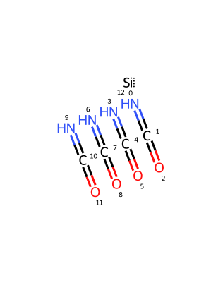 N=C=O.N=C=O.N=C=O.N=C=O.[Si]